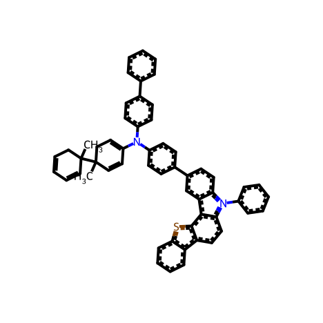 CC1(C2(C)C=CC(N(c3ccc(-c4ccccc4)cc3)c3ccc(-c4ccc5c(c4)c4c6sc7ccccc7c6ccc4n5-c4ccccc4)cc3)=CC2)C=CC=CC1